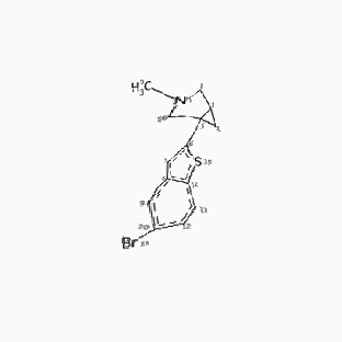 CN1CC2CC2(c2cc3cc(Br)ccc3s2)C1